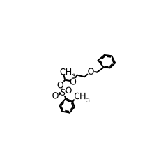 Cc1ccccc1S(=O)(=O)OC(C)OCCOCc1ccccc1